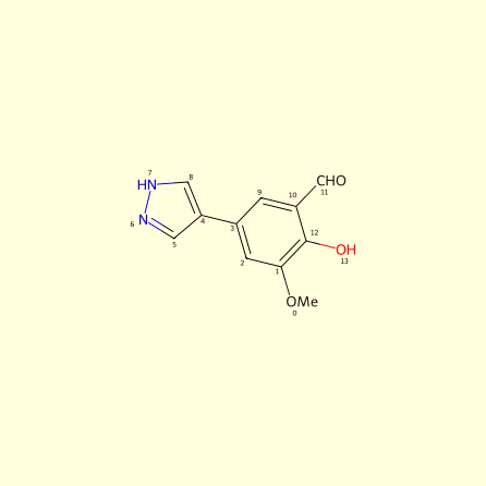 COc1cc(-c2cn[nH]c2)cc(C=O)c1O